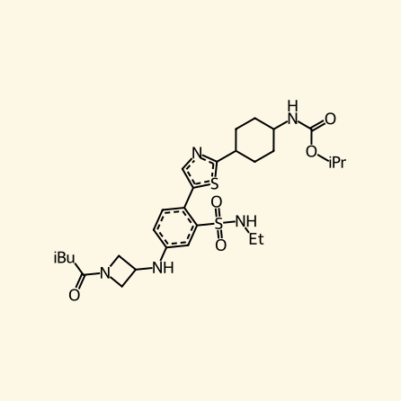 CCNS(=O)(=O)c1cc(NC2CN(C(=O)C(C)CC)C2)ccc1-c1cnc(C2CCC(NC(=O)OC(C)C)CC2)s1